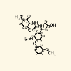 COc1cccc(Oc2ccc(C(CC(=O)O)NC(=O)NC3C(=O)C=CN(C)C3=O)cc2)c1.[NaH]